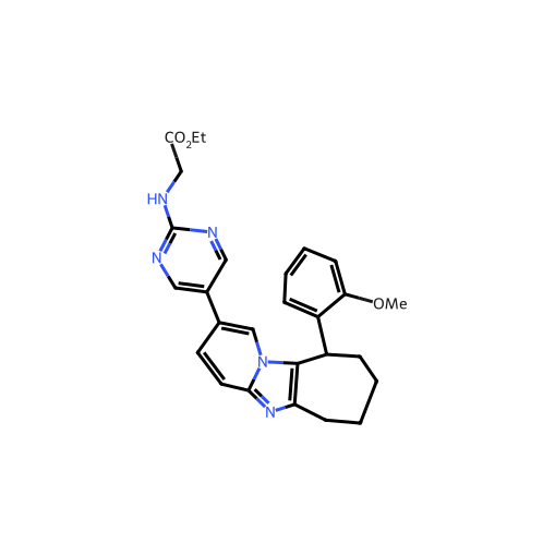 CCOC(=O)CNc1ncc(-c2ccc3nc4c(n3c2)C(c2ccccc2OC)CCCC4)cn1